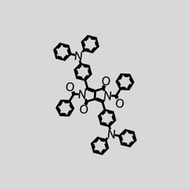 O=C1C2=C(c3ccc(N(c4ccccc4)c4ccccc4)cc3)N(C(=O)c3ccccc3)C(=O)C2=C(c2ccc(N(c3ccccc3)c3ccccc3)cc2)N1C(=O)c1ccccc1